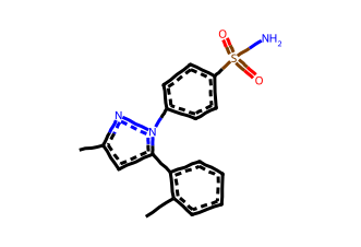 Cc1cc(-c2ccccc2C)n(-c2ccc(S(N)(=O)=O)cc2)n1